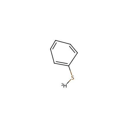 [2H]Sc1ccccc1